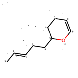 C/C=C/CCC1CCC=CO1